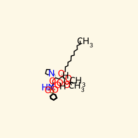 CCCCCCCCCCCCO[C@@H]1[C@H]2OC(C)(C)O[C@H]2O[C@@H]1[C@@H](CN1CCCC1)OC(=O)NS(=O)(=O)c1ccccc1